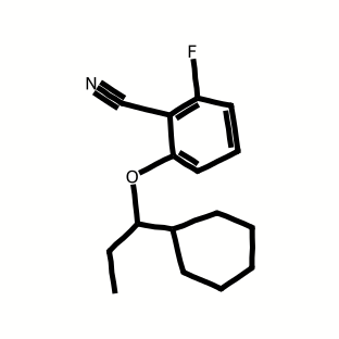 CCC(Oc1cccc(F)c1C#N)C1CCCCC1